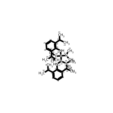 CC(C)c1cccc(C(C)C)c1NB(N(C)C)[B-](Nc1c(C(C)C)cccc1C(C)C)(N(C)C)[Ti]([Cl])[Cl]